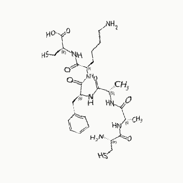 C[C@H](NC(=O)[C@H](C)NC(=O)[C@@H](N)CS)C(=O)N[C@@H](Cc1ccccc1)C(=O)N[C@H](CCCCN)C(=O)N[C@@H](CS)C(=O)O